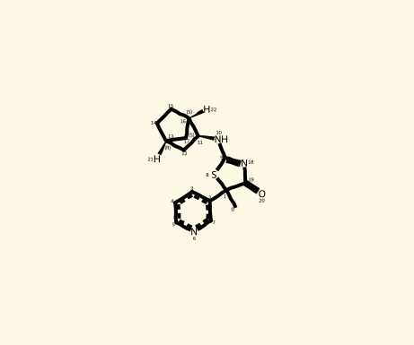 CC1(c2cccnc2)SC(N[C@H]2C[C@@H]3CC[C@H]2C3)=NC1=O